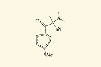 CCCC(C)(C(=O)c1ccc(SC)cc1)N(C)C